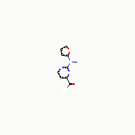 COC(=O)c1ccnc(N(C)c2ccco2)n1